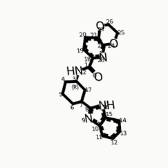 O=C(N[C@@H]1CCCC(c2nc3ccccc3[nH]2)C1)c1ccc2c(n1)OCCO2